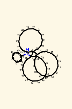 c1ccc(NC2(C3(C4CCCCCCCCCCCCC4)CCCCCCCCCCCCC3)CCCCCCCCCCCCC2)cc1